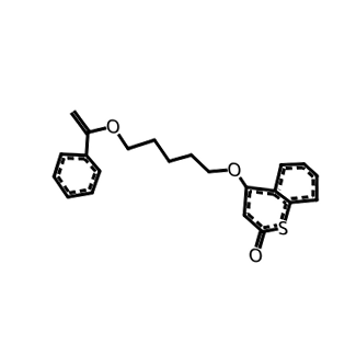 C=C(OCCCCCOc1cc(=O)sc2ccccc12)c1ccccc1